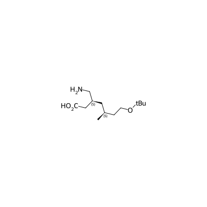 C[C@H](CCOC(C)(C)C)C[C@H](CN)CC(=O)O